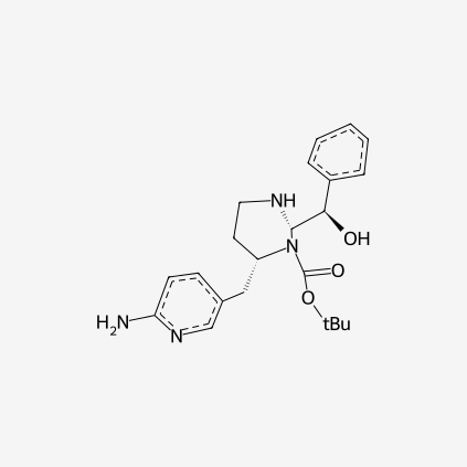 CC(C)(C)OC(=O)N1[C@H](Cc2ccc(N)nc2)CCN[C@@H]1[C@H](O)c1ccccc1